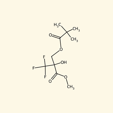 COC(=O)C(O)(COC(=O)C(C)(C)C)C(F)(F)F